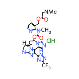 CNCC(=O)OCc1cccnc1N(C)C(=O)OC(C)n1cncc1-c1c(-c2nc(C(F)(F)F)n[nH]2)nc2ncccn12.Cl